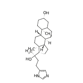 C[C@]12CC[C@H]3[C@@H](CCC4C[C@@H](O)CC[C@@]43C)[C@@H]1CC[C@@H]2[C@](C)(O)CCc1cnc[nH]1